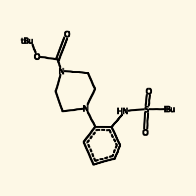 CCC(C)S(=O)(=O)Nc1ccccc1N1CCN(C(=O)OC(C)(C)C)CC1